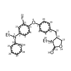 CCN(c1ccc(Oc2ccc(C[C@H]3COC(=O)N3CC)cc2)c(F)c1)c1ccccn1